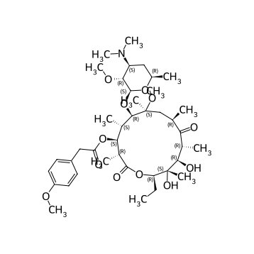 CC[C@H]1OC(=O)[C@H](C)[C@@H](OC(=O)Cc2ccc(OC)cc2)[C@H](C)[C@@H](O[C@@H]2O[C@H](C)C[C@H](N(C)C)[C@H]2OC)[C@@](C)(OC)C[C@@H](C)C(=O)[C@H](C)[C@@H](O)[C@]1(C)O